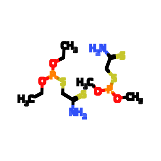 CCOP(OCC)SCC(N)=S.COP(OC)SCC(N)=S